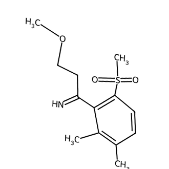 COCCC(=N)c1c(S(C)(=O)=O)ccc(C)c1C